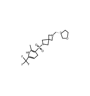 CC1=C(S(=O)(=O)N2CC3(CN(C[C@@H]4CCOC4)C3)C2)CC=C(C(F)(F)F)N1